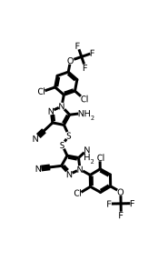 N#Cc1nn(-c2c(Cl)cc(OC(F)(F)F)cc2Cl)c(N)c1SSc1c(C#N)nn(-c2c(Cl)cc(OC(F)(F)F)cc2Cl)c1N